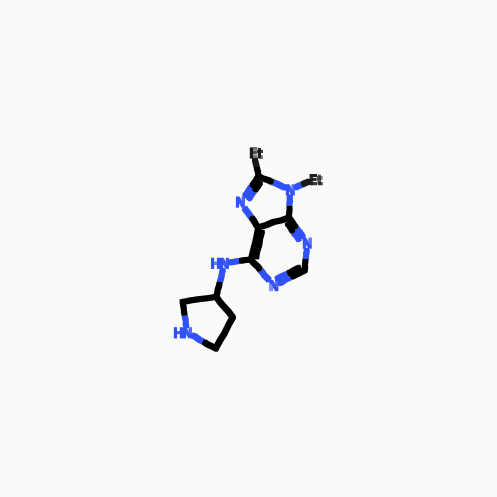 CCc1nc2c(NC3CCNC3)ncnc2n1CC